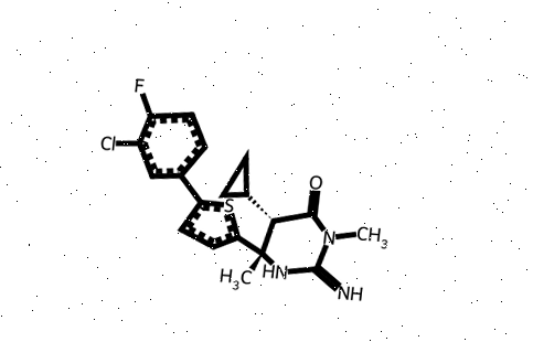 CN1C(=N)N[C@](C)(c2ccc(-c3ccc(F)c(Cl)c3)s2)[C@H](C2CC2)C1=O